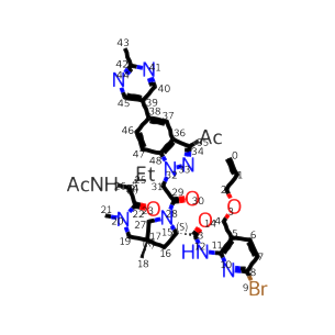 C=CCOCc1ccc(Br)nc1NC(=O)[C@@H]1C[C@](C)(CN(C)C(=O)[C@@H](CC)NC(C)=O)CN1C(=O)Cn1nc(C(C)=O)c2cc(-c3cnc(C)nc3)ccc21